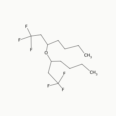 CCCCC(CC(F)(F)F)OC(CCCC)CC(F)(F)F